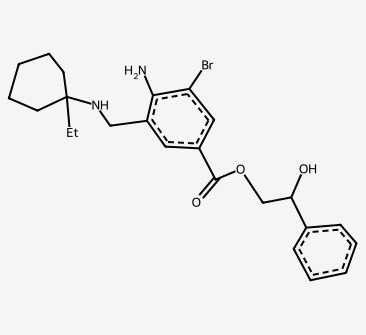 CCC1(NCc2cc(C(=O)OCC(O)c3ccccc3)cc(Br)c2N)CCCCC1